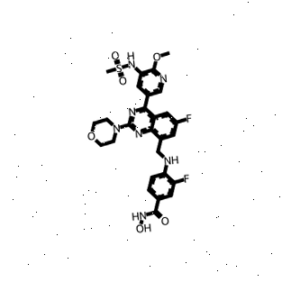 COc1ncc(-c2nc(N3CCOCC3)nc3c(CNc4ccc(C(=O)NO)cc4F)cc(F)cc23)cc1NS(C)(=O)=O